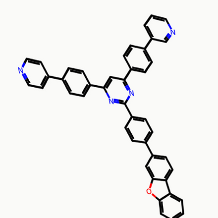 c1cncc(-c2ccc(-c3cc(-c4ccc(-c5ccncc5)cc4)nc(-c4ccc(-c5ccc6c(c5)oc5ccccc56)cc4)n3)cc2)c1